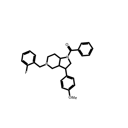 COc1ccc(C2CN(C(=O)c3ccccc3)C3CCN(Cc4ccccc4F)CC23)cc1